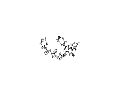 O=C(CCC(=O)N1CCOCC1)N[C@H]1C[C@H](Nc2cc(-n3c(C(F)F)nc4ccccc43)nc(N3CCOCC3)n2)C1